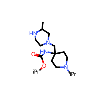 CC1CN(CC2(NC(=O)OC(C)C)CCN(C(C)C)CC2)CCN1